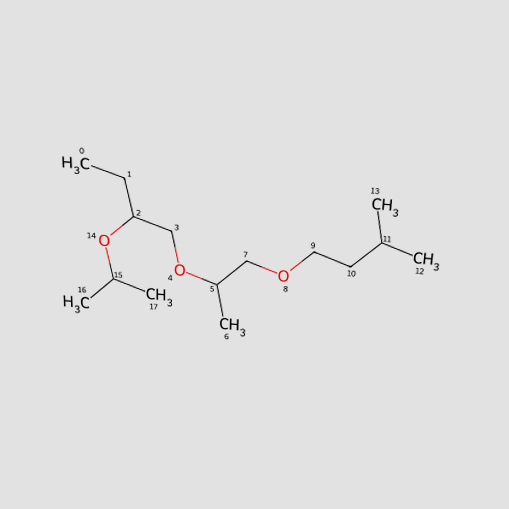 CCC(COC(C)COCCC(C)C)OC(C)C